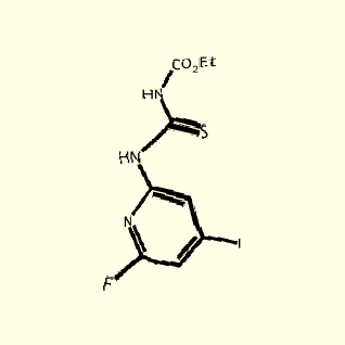 CCOC(=O)NC(=S)Nc1cc(I)cc(F)n1